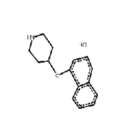 Cl.c1ccc2c(OC3CCNCC3)cccc2c1